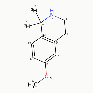 [2H]C1([2H])NCCc2cc(OC)ccc21